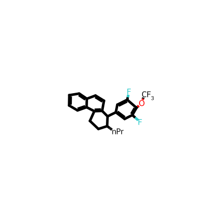 CCCC1CCc2c(ccc3ccccc23)C1c1cc(F)c(OC(F)(F)F)c(F)c1